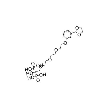 O=P(O)(O)C(O)(COCCOCCOCCOc1cccc(C2OCCO2)c1)P(=O)(O)O